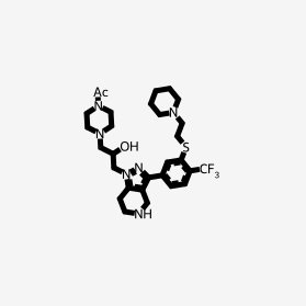 CC(=O)N1CCN(CC(O)Cn2nc(-c3ccc(C(F)(F)F)c(SCCN4CCCCC4)c3)c3c2CCNC3)CC1